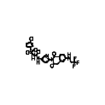 O=C(Nc1ccc(N2C(=O)Cc3cc(NCC(F)(F)F)ccc3C2=O)nc1)NS(=O)(=O)c1ccc(Cl)s1